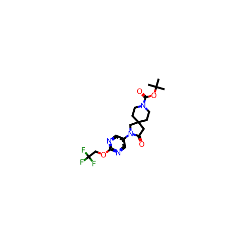 CC(C)(C)OC(=O)N1CCC2(CC1)CC(=O)N(c1cnc(OCC(F)(F)F)nc1)C2